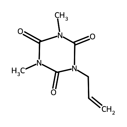 C=CCn1c(=O)n(C)c(=O)n(C)c1=O